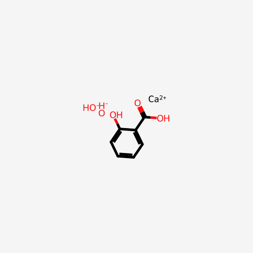 O=C(O)c1ccccc1O.[Ca+2].[OH-].[OH-]